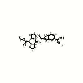 CCOC(=O)CN1CCC[C@@H]1C(=O)N1CCC[C@H]1CCc1cc2cc(C(=N)N)ccc2o1